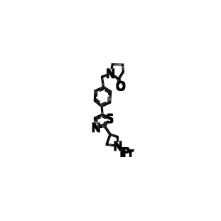 CC(C)N1CC(c2ncc(-c3ccc(CN4CCCC4=O)cc3)s2)C1